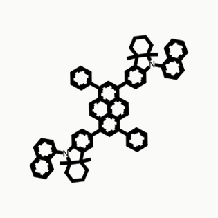 CC12CCCCC1(C)N(c1cccc3ccccc13)c1ccc(-c3cc(-c4ccccc4)c4ccc5c(-c6ccc7c(c6)C6(C)CCCCC6(C)N7c6cccc7ccccc67)cc(-c6ccccc6)c6ccc3c4c65)cc12